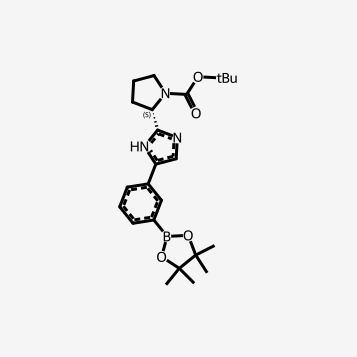 CC(C)(C)OC(=O)N1CCC[C@H]1c1ncc(-c2cccc(B3OC(C)(C)C(C)(C)O3)c2)[nH]1